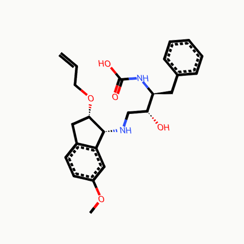 C=CCO[C@H]1Cc2ccc(OC)cc2[C@H]1NC[C@@H](O)[C@H](Cc1ccccc1)NC(=O)O